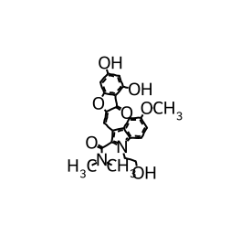 COc1ccc2c(c1)c(C=C1Oc3cc(O)cc(O)c3C1=O)c(C(=O)N(C)C)n2CCO